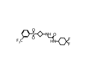 O=C(CNC1CC(S(=O)(=O)c2cccc(C(F)(F)F)c2)C1)NC1CCC(F)(F)CC1